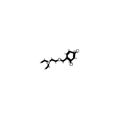 CCN(CC)CCOCc1ccc(Cl)cc1Cl